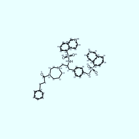 O=C(CCc1ccccc1)N1CCCN(CC(Cc2ccc(OS(=O)(=O)c3cccc4cnccc34)cc2)NS(=O)(=O)c2cccc3cnccc23)CC1